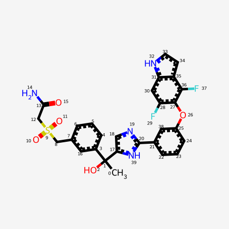 CC(O)(c1cccc(CS(=O)(=O)CC(N)=O)c1)c1cnc(-c2cccc(Oc3c(F)cc4[nH]ccc4c3F)c2)[nH]1